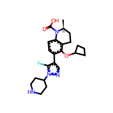 C[C@H]1CCc2c(ccc(-c3cnn(C4CCNCC4)c3F)c2OC2CCC2)N1C(=O)O